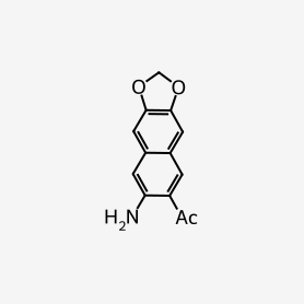 CC(=O)c1cc2cc3c(cc2cc1N)OCO3